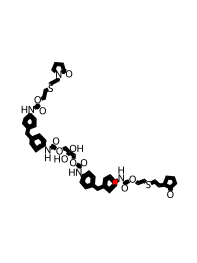 O=C(Nc1ccc(Cc2ccc(NC(=O)OCC(O)(O)COC(=O)Nc3ccc(Cc4ccc(NC(=O)OCCSCCN5CCCC5=O)cc4)cc3)cc2)cc1)OCCSCCC1CCCC1=O